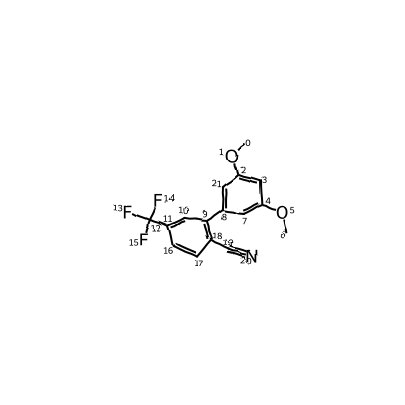 COc1cc(OC)cc(-c2cc(C(F)(F)F)ccc2C#N)c1